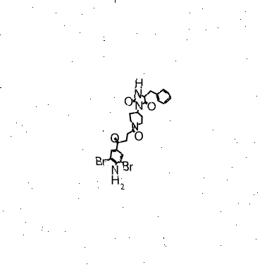 Nc1c(Br)cc(C(=O)CCC(=O)N2CCC(N3C(=O)NC(Cc4ccccc4)C3=O)CC2)cc1Br